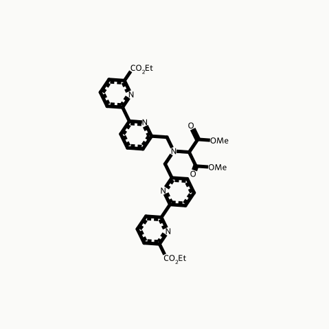 CCOC(=O)c1cccc(-c2cccc(CN(Cc3cccc(-c4cccc(C(=O)OCC)n4)n3)C(C(=O)OC)C(=O)OC)n2)n1